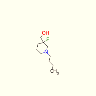 CCCCN1CCCC(F)(CO)C1